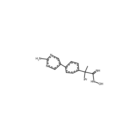 CC(C)C(C)(C(=N)NO)c1ccc(-c2cnc(N)nc2)cc1